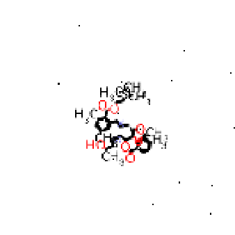 Cc1cc(C)c(C(=O)OCC[Si](C)(C)C)c(/C=C/C[C@@H]2OC(C)(C)OC2C(/C=C\CC(C)O)OC(=O)c2ccccc2)c1